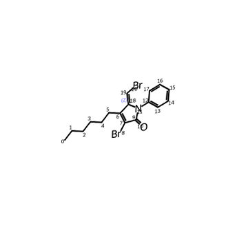 CCCCCCC1=C(Br)C(=O)N(c2ccccc2)/C1=C\Br